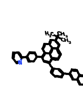 CC(C)(C)c1cc2ccc3c(-c4cccc(-c5ccc6ccccc6c5)c4)cc(C4C=CC(c5ccccn5)=CC4)c4ccc(c1)c2c34